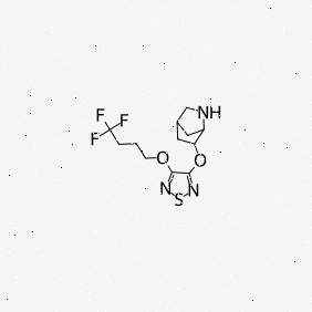 FC(F)(F)CCCOc1nsnc1OC1CC2CNC1C2